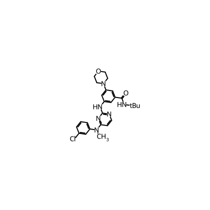 CN(c1cccc(Cl)c1)c1ccnc(Nc2cc(C(=O)NC(C)(C)C)cc(N3CCOCC3)c2)n1